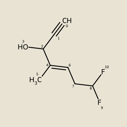 C#CC(O)C(C)=CCC(F)F